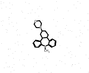 CN1c2ccccc2C2CCC(N3CCOCC3)CC2c2ccccc21